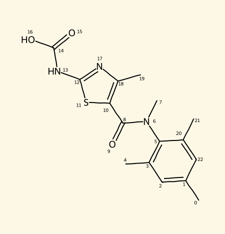 Cc1cc(C)c(N(C)C(=O)c2sc(NC(=O)O)nc2C)c(C)c1